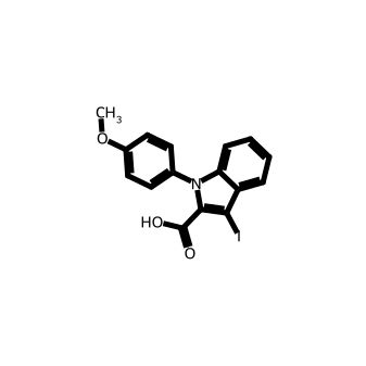 COc1ccc(-n2c(C(=O)O)c(I)c3ccccc32)cc1